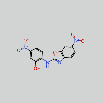 O=[N+]([O-])c1ccc(Nc2nc3ccc([N+](=O)[O-])cc3o2)c(O)c1